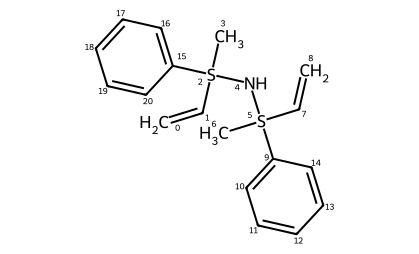 C=CS(C)(NS(C)(C=C)c1ccccc1)c1ccccc1